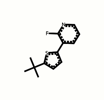 CC(C)(C)c1ccc(-c2cccnc2F)s1